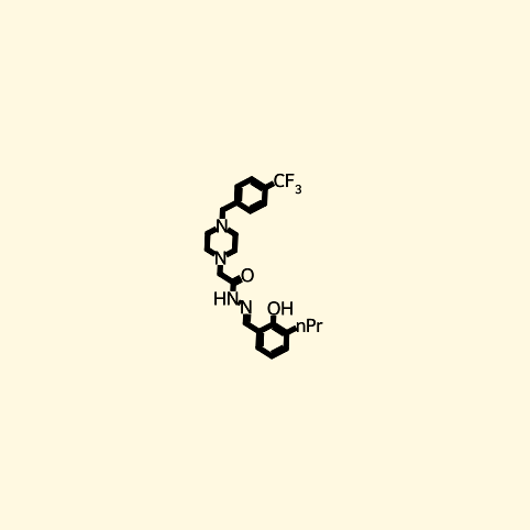 CCCc1cccc(C=NNC(=O)CN2CCN(Cc3ccc(C(F)(F)F)cc3)CC2)c1O